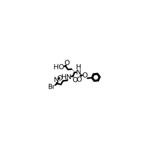 O=C(O)CC[C@H](NC(=O)OCc1ccccc1)C(=O)NCC1CC(Br)=NO1